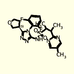 Cc1cnc(C(C)C(C)S(=O)(=O)Nc2nnc([C@@H]3CCOC3)n2-c2c(F)cccc2F)nc1